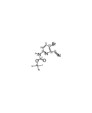 CN(C(=O)OC(C)(C)C)c1ccc(Br)c(C#N)n1